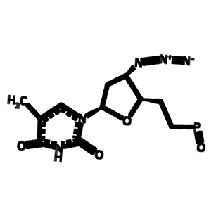 Cc1cn([C@H]2C[C@@H](N=[N+]=[N-])[C@@H](CCP=O)O2)c(=O)[nH]c1=O